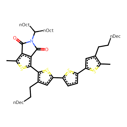 CCCCCCCCCCCCc1cc(-c2ccc(-c3cc(CCCCCCCCCCCC)c(-c4sc(C)c5c4C(=O)N(C(CCCCCCCC)CCCCCCCC)C5=O)s3)s2)sc1C